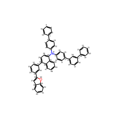 c1ccc(-c2ccc(N(c3ccc(-c4cccc(-c5ccccc5)c4)cc3)c3ccc(-c4cccc(-c5cc6ccccc6o5)c4)c4ccccc34)cc2)cc1